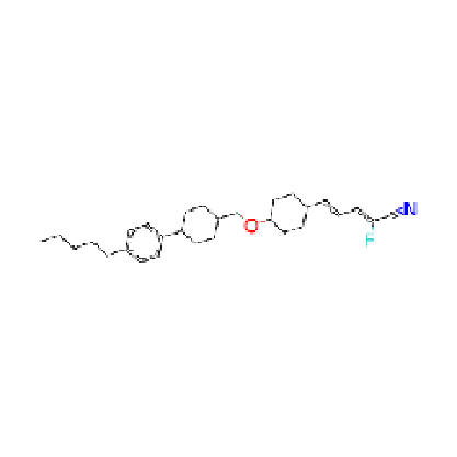 CCCCCc1ccc(C2CCC(COC3CCC(C=CC=C(F)C#N)CC3)CC2)cc1